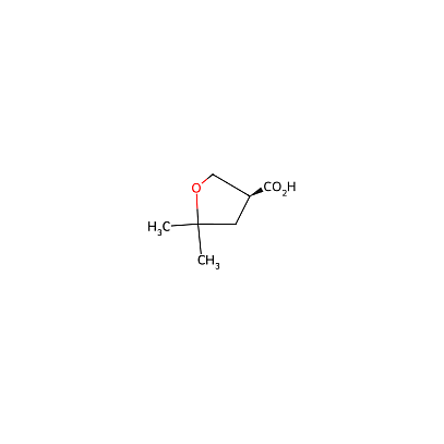 CC1(C)C[C@H](C(=O)O)CO1